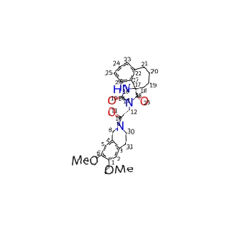 COc1cc2c(cc1OC)CN(C(=O)CN1C(=O)NC3(CCCCc4ccccc43)C1=O)CC2